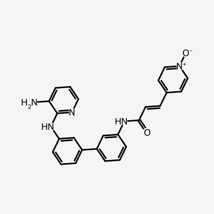 Nc1cccnc1Nc1cccc(-c2cccc(NC(=O)C=Cc3cc[n+]([O-])cc3)c2)c1